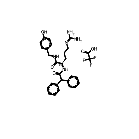 NC(N)=NCCC[C@@H](NC(=O)C(c1ccccc1)c1ccccc1)C(=O)NCc1ccc(O)cc1.O=C(O)C(F)(F)F